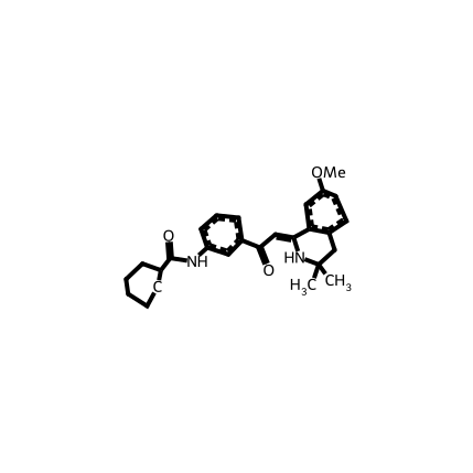 COc1ccc2c(c1)/C(=C/C(=O)c1cccc(NC(=O)C3CCCCC3)c1)NC(C)(C)C2